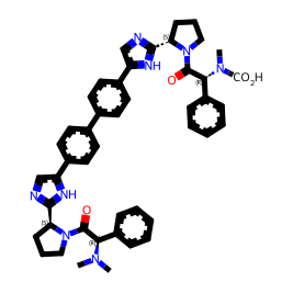 CN(C)[C@@H](C(=O)N1CCC[C@H]1c1ncc(-c2ccc(-c3ccc(-c4cnc([C@@H]5CCCN5C(=O)[C@@H](c5ccccc5)N(C)C(=O)O)[nH]4)cc3)cc2)[nH]1)c1ccccc1